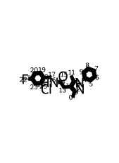 Cc1nn(-c2ccccc2)c(C)c1CC(=O)NCc1ccc(F)cc1Cl